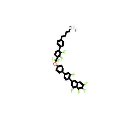 CCCCCc1ccc(-c2ccc(C(F)(F)Oc3ccc(-c4ccc(-c5cc(F)c6c(F)c(F)c(F)cc6c5)c(F)c4)cc3)c(F)c2F)cc1